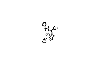 CC(C)(C[C@H](NC(=O)c1ccoc1)C(=O)NC1C(=O)COC1CN1CCCC1)c1ccccc1